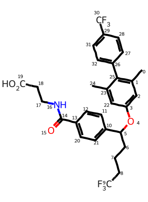 Cc1cc(OC(CCCC(F)(F)F)c2ccc(C(=O)NCCC(=O)O)cc2)cc(C)c1-c1ccc(C(F)(F)F)cc1